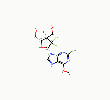 COc1nc(Cl)nc2c1ncn2[C@@H]1O[C@H](CO)[C@@](C)(CO)C1(F)F